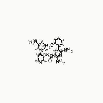 Cc1ccccc1-c1nc(C(=O)Nc2cnccc2N2CCCC(N)C2)c(N)nc1N